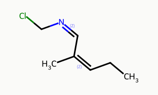 CC/C=C(C)\C=N/CCl